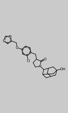 O=C1C(Cc2ccc(OCc3cscn3)cc2Cl)CCN1C1C2CC3CC1CC(O)(C3)C2